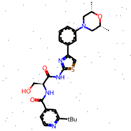 C[C@@H]1CN(c2cccc(-c3csc(NC(=O)[C@H](CO)NC(=O)c4ccnc(C(C)(C)C)c4)n3)c2)C[C@H](C)O1